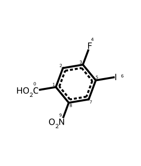 O=C(O)c1cc(F)c(I)cc1[N+](=O)[O-]